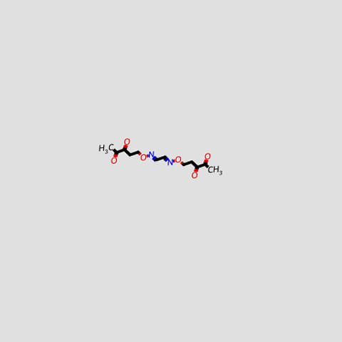 CC(=O)C(=O)CCO/N=C/C=N/OCCC(=O)C(C)=O